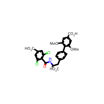 COc1cc(C(=O)O)cc(OC)c1-c1ccc(CC(NC(=O)c2c(Cl)cc(C(=O)O)cc2Cl)C(=O)O)cc1